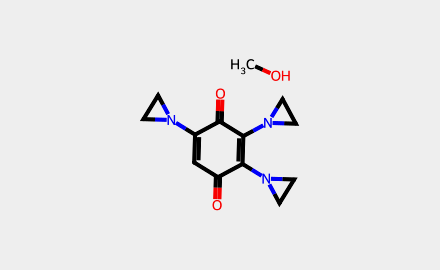 CO.O=C1C=C(N2CC2)C(=O)C(N2CC2)=C1N1CC1